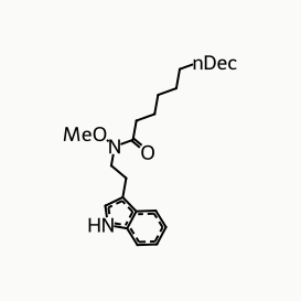 CCCCCCCCCCCCCCCC(=O)N(CCc1c[nH]c2ccccc12)OC